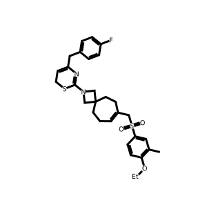 CCOc1ccc(S(=O)(=O)CC2=CCCC3(CC2)CN(C2=NC(Cc4ccc(F)cc4)=CCS2)C3)cc1C